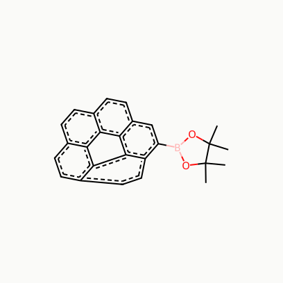 CC1(C)OB(c2cc3ccc4ccc5ccc6ccc2c2c6c5c4c32)OC1(C)C